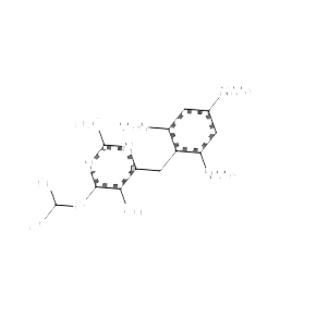 CCC(CC)Oc1nc(C)nc(Cc2c(NC)cc(NC)cc2NC)c1C